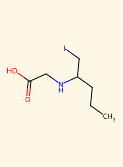 CCCC(CI)NCC(=O)O